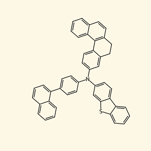 c1ccc2c(-c3ccc(N(c4ccc5c(c4)CCc4ccc6ccccc6c4-5)c4ccc5c(c4)sc4ccccc45)cc3)cccc2c1